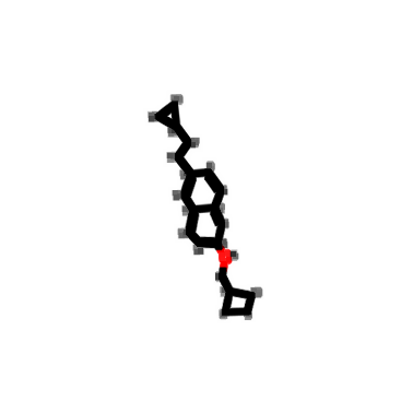 c1cc2cc(OCC3CCC3)ccc2cc1CCC1CC1